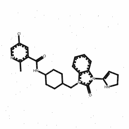 Cc1ncc(Cl)cc1C(=O)NC1CCC(Cn2c(=O)n(C3=CCCN3)c3ccccc32)CC1